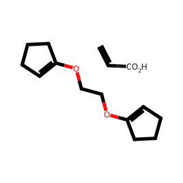 C1=C(OCCOC2=CCCC2)CCC1.C=CC(=O)O